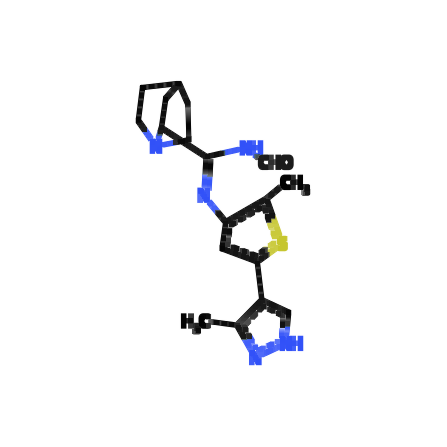 Cc1n[nH]cc1-c1cc(/N=C(\NC=O)C2CC3CCN2CC3)c(C)s1